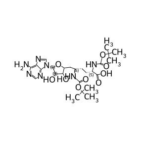 CC(C)(C)OC(=O)N[C@@H](CC[C@H](NC(=O)OC(C)(C)C)C(=O)O)CC1O[C@@H](n2cnc3c(N)ncnc32)[C@H](O)C1O